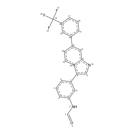 O=CNc1cccc(-c2cnc3cc(-c4cccc(C(F)(F)F)c4)ccn23)c1